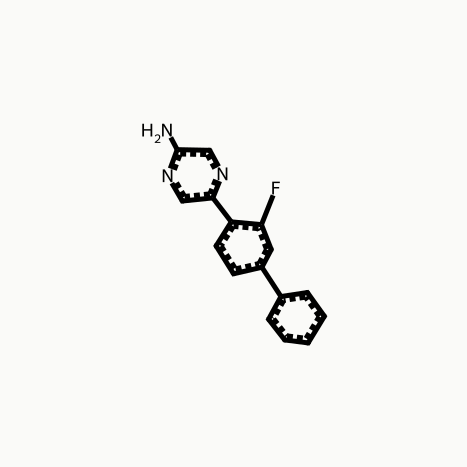 Nc1cnc(-c2ccc(-c3ccccc3)cc2F)cn1